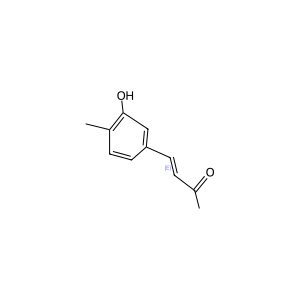 CC(=O)/C=C/c1ccc(C)c(O)c1